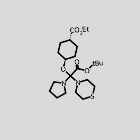 CCOC(=O)[C@H]1CC[C@H](OC(C(=O)OC(C)(C)C)(N2CCCC2)N2CCSCC2)CC1